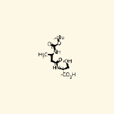 CC(CC(=O)N[C@H](CO)C(=O)O)NC(=O)OC(C)(C)C